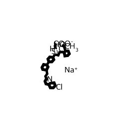 CC(C)(O)c1ccccc1CCC(SCCC(=O)[O-])c1ccc(-c2cccc(CCc3ccc4ccc(Cl)cc4n3)c2)cc1.[Na+]